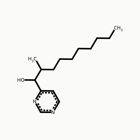 CCCCCCCCC(C)C(O)c1ccncn1